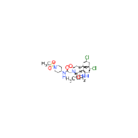 C=C(C)[C@H]1N(CC(=O)NC2CCN(S(C)(=O)=O)CC2)C(=O)C[C@@H](c2cccc(Cl)c2)[C@]12C(=O)Nc1cc(Cl)ccc12